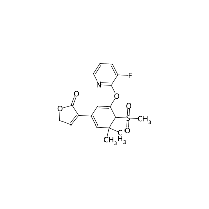 CC1(C)C=C(C2=CCOC2=O)C=C(Oc2ncccc2F)C1S(C)(=O)=O